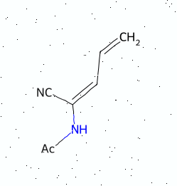 C=C/C=C(\C#N)NC(C)=O